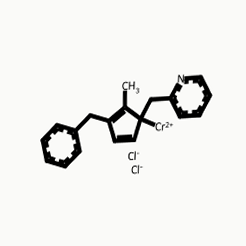 CC1=C(Cc2ccccc2)C=C[C]1([Cr+2])Cc1ccccn1.[Cl-].[Cl-]